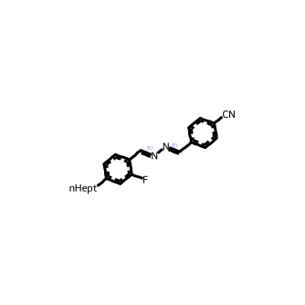 CCCCCCCc1ccc(/C=N/N=C/c2ccc(C#N)cc2)c(F)c1